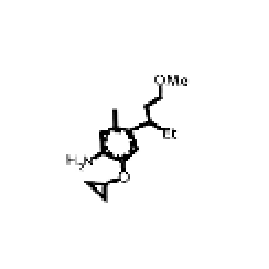 CCC(CCOC)c1cc(OC2CC2)c(N)cc1C